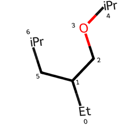 CCC(COC(C)C)CC(C)C